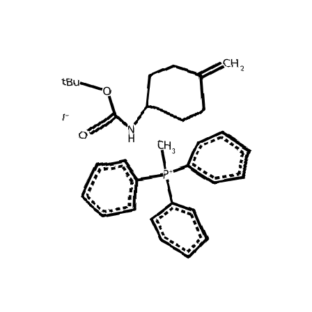 C=C1CCC(NC(=O)OC(C)(C)C)CC1.C[P+](c1ccccc1)(c1ccccc1)c1ccccc1.[I-]